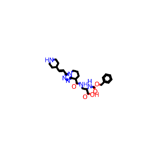 O=C(NC(CNC(=O)C1CCCn2c(C=CC3CCNCC3)nnc21)C(=O)O)OCc1ccccc1